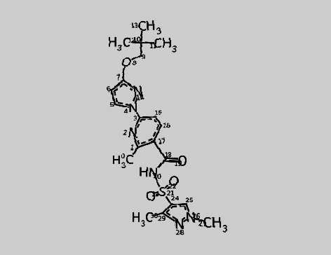 Cc1nc(-n2ccc(OCC(C)(C)C)n2)ccc1C(=O)NS(=O)(=O)c1cn(C)nc1C